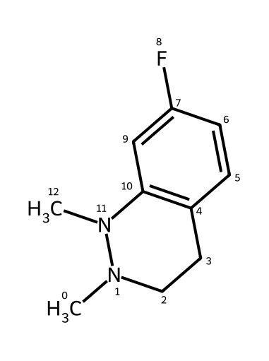 CN1CCc2ccc(F)cc2N1C